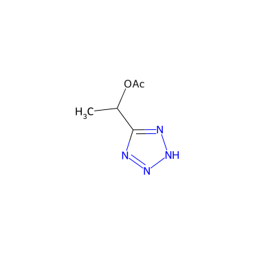 CC(=O)OC(C)c1nn[nH]n1